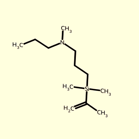 C=C(C)[Si](C)(C)CCCN(C)CCC